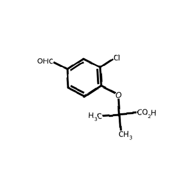 CC(C)(Oc1ccc(C=O)cc1Cl)C(=O)O